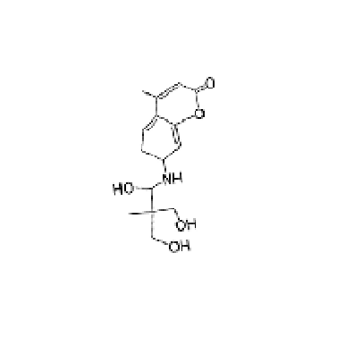 Cc1cc(=O)oc2c1=CCC(NC(O)C(C)(CO)CO)C=2